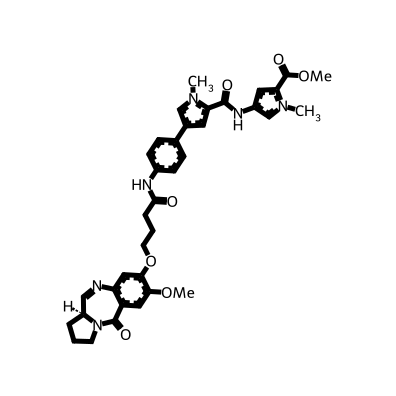 COC(=O)c1cc(NC(=O)c2cc(-c3ccc(NC(=O)CCCOc4cc5c(cc4OC)C(=O)N4CCC[C@H]4C=N5)cc3)cn2C)cn1C